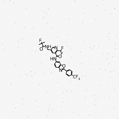 CC(C)(F)C(=O)NCc1cnc(C(F)F)c(C(=O)Nc2ccc3nc(-c4ccc(C(F)(F)F)cc4)oc3c2)c1